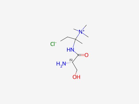 CCC(C)(NC(=O)[C@@H](N)CO)[N+](C)(C)C.[Cl-]